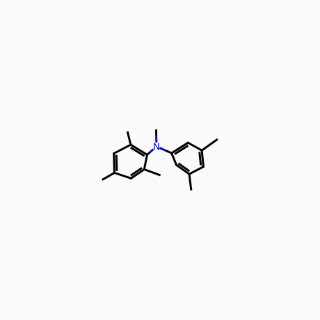 Cc1cc(C)cc(N(C)c2c(C)cc(C)cc2C)c1